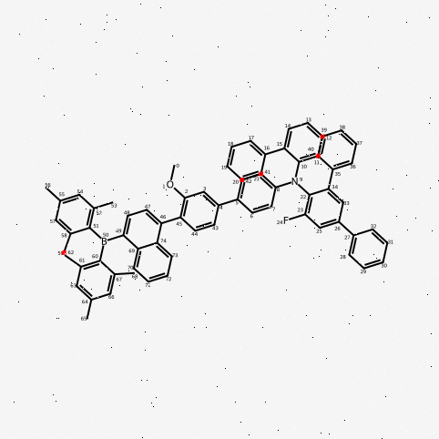 COc1cc(-c2ccc(N(c3ccccc3-c3ccccc3)c3c(F)cc(-c4ccccc4)cc3-c3ccccc3)cc2)ccc1-c1ccc(B(c2c(C)cc(C)cc2C)c2c(C)cc(C)cc2C)c2ccccc12